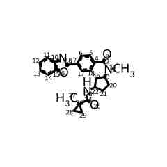 CN(C(=O)c1ccc(-c2nc3ccccc3o2)cc1)C1CCC(NC(=O)C2(C)CC2)C1